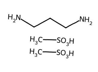 CS(=O)(=O)O.CS(=O)(=O)O.NCCCN